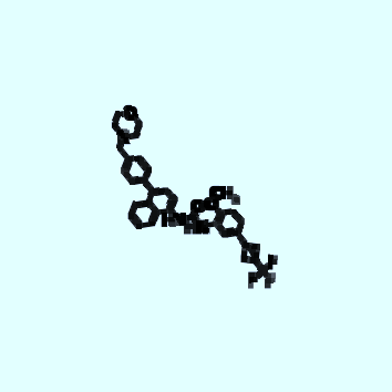 COc1ccc(C23CC(C(F)(F)F)(C2)C3)cc1NC(=O)Nc1ccc(-c2ccc(CN3CCOCC3)cc2)c2ccccc12